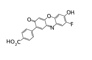 O=C(O)c1ccc(-c2cc3nc4cc(F)c(O)cc4oc-3cc2=O)cc1